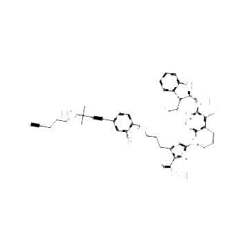 C#CCCCNC(C)(C)C#Cc1ccc(OCCCc2sc(N3CCCc4c3nnc(NC3=Nc5ccccc5C3CC)c4C)nc2C(=O)O)c(F)c1